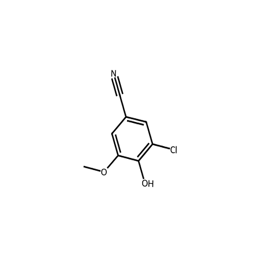 COc1cc(C#N)cc(Cl)c1O